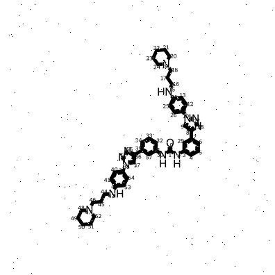 O=C(Nc1cccc(-c2cn(-c3ccc(NCCCN4CCCCC4)cc3)nn2)c1)Nc1cccc(-c2cn(-c3ccc(NCCCN4CCCCC4)cc3)nn2)c1